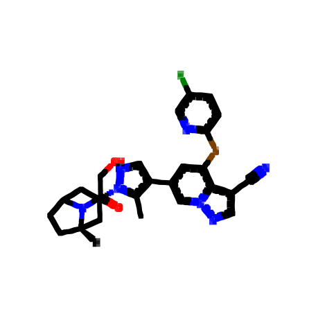 Cc1c(-c2cc(Sc3ccc(F)cn3)c3c(C#N)cnn3c2)cnn1[C@H]1CC2CC[C@@H](C1)N2C(=O)CO